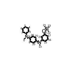 CN(c1ccccc1)c1ccc(N(C)c2cccc(O[Si](C)(C)C)c2)cc1